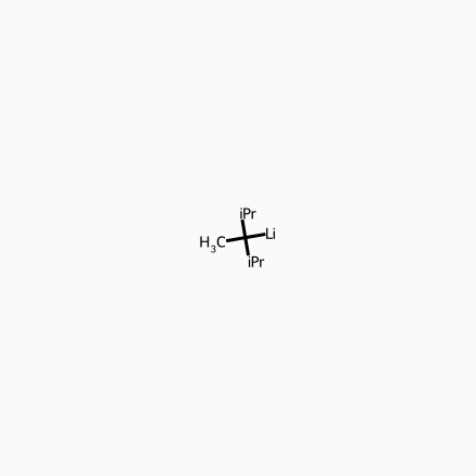 [Li][C](C)(C(C)C)C(C)C